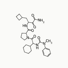 CN(C(=O)NC(C(=O)N1CCCC1C(=O)NC(CC1CCC1)C(=O)C(N)=O)C1CCCCC1)c1ccccc1